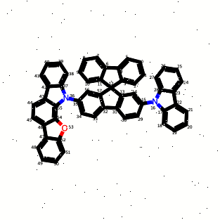 c1ccc2c(c1)-c1ccccc1C21c2cc(-n3c4ccccc4c4ccccc43)ccc2-c2ccc(-n3c4ccccc4c4ccc5c6ccccc6oc5c43)cc21